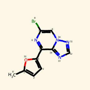 Cc1ccc(-c2nc(Br)cn3ncnc23)o1